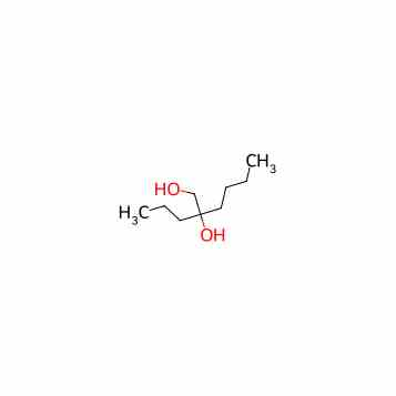 CCCCC(O)(CO)CCC